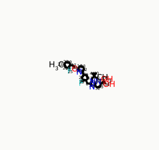 CCC1(Cn2c(Cc3ccc(-c4cccc(OCc5ccc(C)cc5F)n4)cc3F)nc3ccc(C(O)O)nc32)CC1